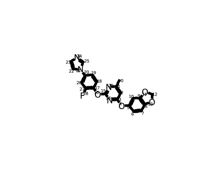 Cc1cc(Oc2ccc3c(c2)OCO3)nc(Oc2ccc(-n3ccnc3)cc2F)n1